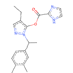 CCc1cnn(C(C)c2ccc(C)c(C)c2)c1OC(=O)c1ncc[nH]1